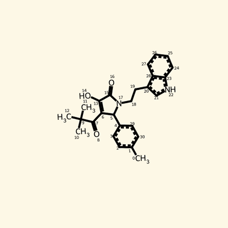 Cc1ccc(C2C(C(=O)C(C)(C)C)=C(O)C(=O)N2CCc2c[nH]c3ccccc23)cc1